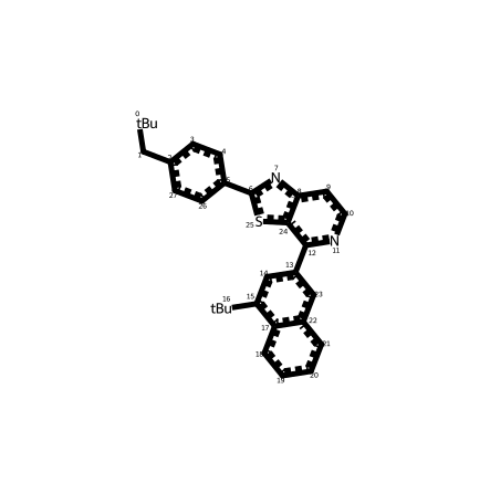 CC(C)(C)Cc1ccc(-c2nc3ccnc(-c4cc(C(C)(C)C)c5ccccc5c4)c3s2)cc1